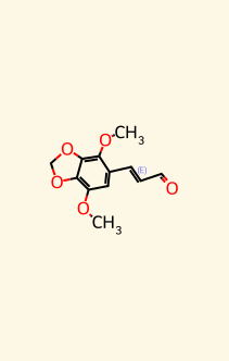 COc1cc(/C=C/C=O)c(OC)c2c1OCO2